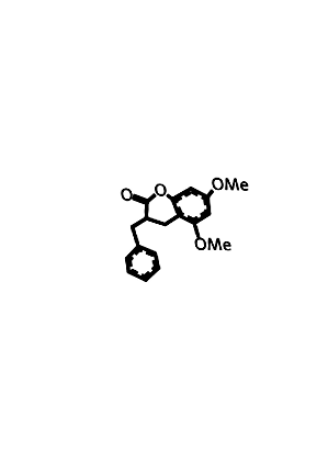 COc1cc(OC)c2c(c1)OC(=O)C(Cc1ccccc1)C2